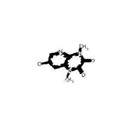 Cn1c(=O)c(=O)n(C)c2ncc(Cl)cc21